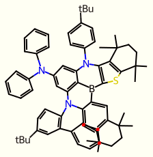 CC(C)(C)c1ccc(N2c3cc(N(c4ccccc4)c4ccccc4)cc4c3B(c3cc5c(cc3N4c3ccc(C(C)(C)C)cc3-c3ccccc3)C(C)(C)CCC5(C)C)c3sc4c(c32)C(C)(C)CCC4(C)C)cc1